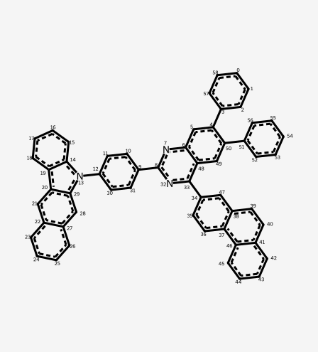 c1ccc(-c2cc3nc(-c4ccc(-n5c6ccccc6c6cc7ccccc7cc65)cc4)nc(-c4ccc5c(ccc6ccccc65)c4)c3cc2-c2ccccc2)cc1